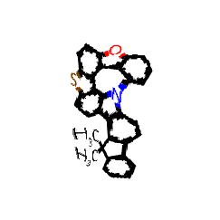 CC1(C)c2ccccc2-c2ccc3c(c21)c1ccc2sc4ccc5oc6cccc7c6c5c4c2c1n37